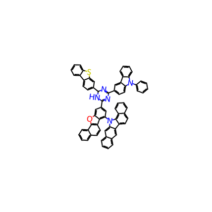 c1ccc(-n2c3ccccc3c3cc(C4=NC(c5ccc6c(c5)sc5ccccc56)NC(c5cc(-n6c7cc8ccccc8cc7c7ccc8ccccc8c76)c6c(c5)oc5c7ccccc7ccc56)=N4)ccc32)cc1